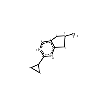 CN1Cc2cnc(C3CC3)nc2C1